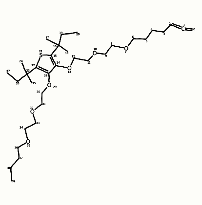 C=C=CCCCCOCCOCCOc1c(C(C)(C)CC)sc(C(C)(C)CC)c1OCCOCCOCCCC